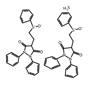 O=C1C(CC[S+]([O-])c2ccccc2)C(=O)N(c2ccccc2)N1c1ccccc1.O=C1C(CC[S+]([O-])c2ccccc2)C(=O)N(c2ccccc2)N1c1ccccc1.S